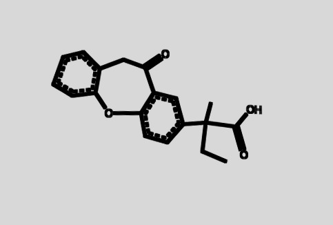 CCC(C)(C(=O)O)c1ccc2c(c1)C(=O)Cc1ccccc1O2